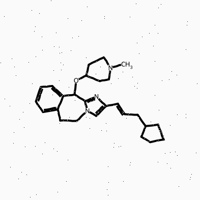 CN1CCC(OC2c3ccccc3CCn3cc(C=CCC4CCCC4)nc32)CC1